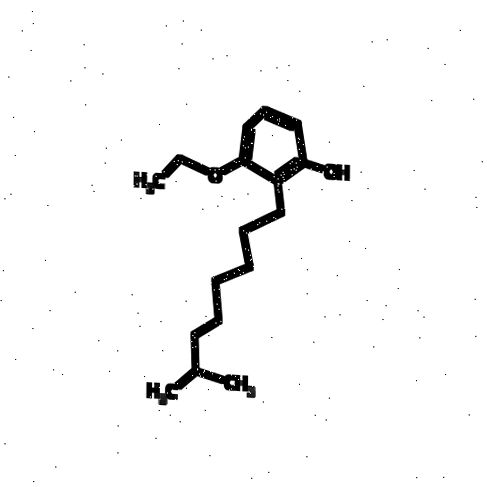 CCOc1cccc(O)c1CCCCCCC(C)C